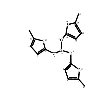 Cc1ccc(OB(Oc2ccc(C)s2)Oc2ccc(C)s2)s1